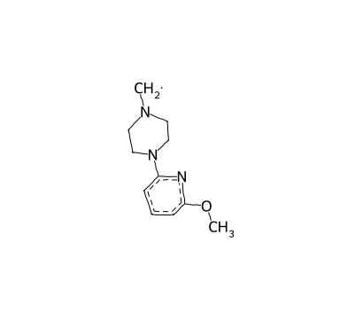 [CH2]N1CCN(c2cccc(OC)n2)CC1